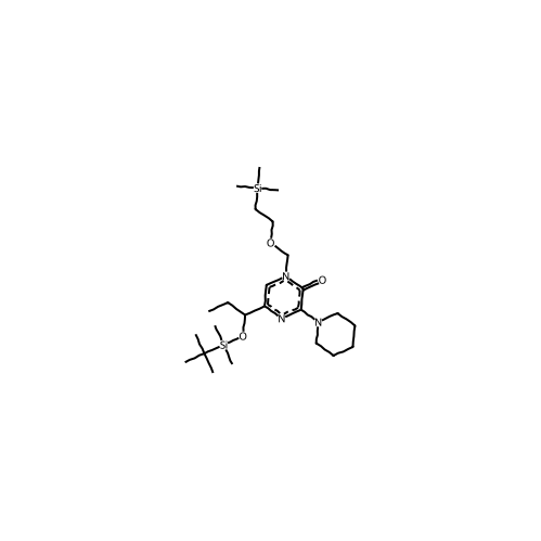 CCC(O[Si](C)(C)C(C)(C)C)c1cn(COCC[Si](C)(C)C)c(=O)c(N2CCCCC2)n1